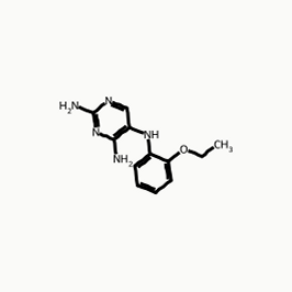 CCOc1ccccc1Nc1cnc(N)nc1N